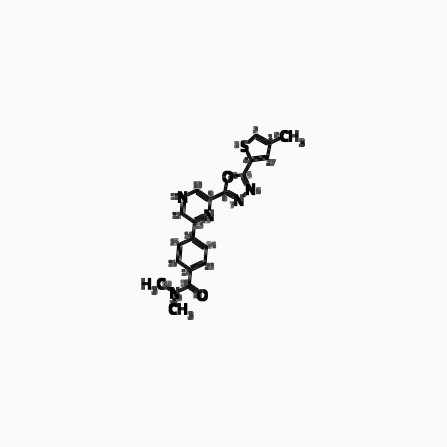 Cc1csc(-c2nnc(-c3cncc(-c4ccc(C(=O)N(C)C)cc4)n3)o2)c1